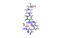 C=CC(=O)Nc1cc(-c2cccc3cnc(Nc4ccc(N5CCN(CC(C)O)CC5)c(F)c4F)nc23)ccn1